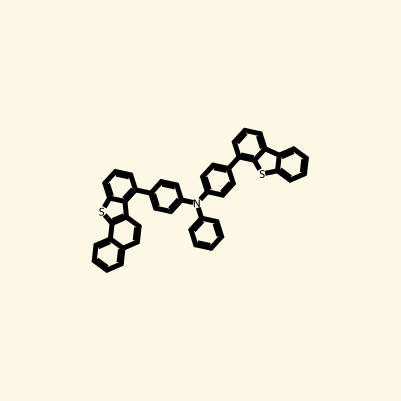 c1ccc(N(c2ccc(-c3cccc4c3sc3ccccc34)cc2)c2ccc(-c3cccc4sc5c6ccccc6ccc5c34)cc2)cc1